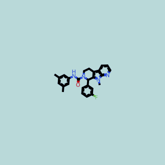 Cc1cc(C)cc(NC(=O)N2CCc3c(n(C)c4ncccc34)C2c2cccc(F)c2)c1